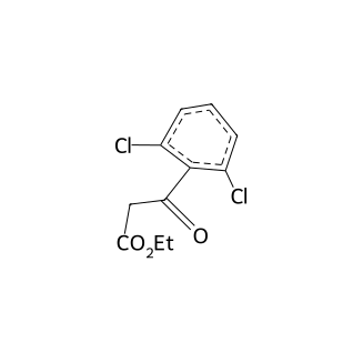 CCOC(=O)CC(=O)c1c(Cl)cccc1Cl